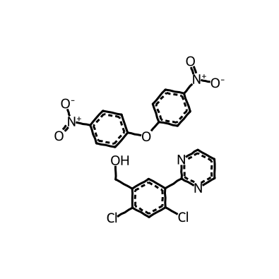 O=[N+]([O-])c1ccc(Oc2ccc([N+](=O)[O-])cc2)cc1.OCc1cc(-c2ncccn2)c(Cl)cc1Cl